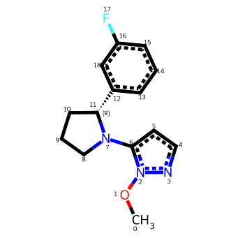 COn1nccc1N1CCC[C@@H]1c1cccc(F)c1